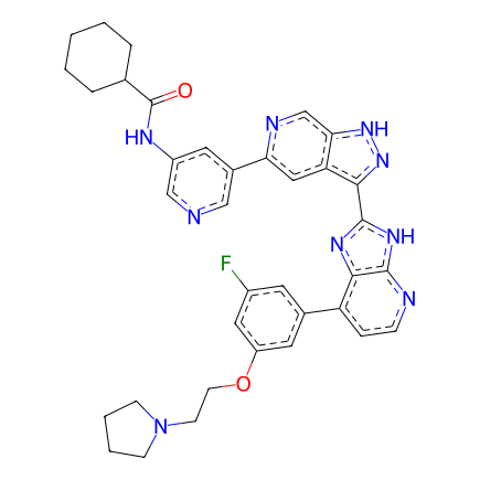 O=C(Nc1cncc(-c2cc3c(-c4nc5c(-c6cc(F)cc(OCCN7CCCC7)c6)ccnc5[nH]4)n[nH]c3cn2)c1)C1CCCCC1